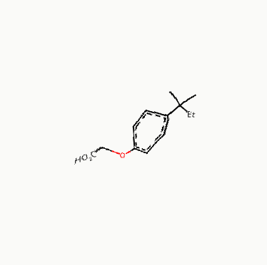 CCC(C)(C)c1ccc(OCC(=O)O)cc1